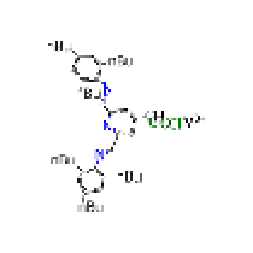 CCCCc1cc(CCCC)c(N=Cc2cc(C)cc(C=Nc3c(CCCC)cc(CCCC)cc3CCCC)n2)c(CCCC)c1.[Cl-].[Cl-].[Cl-].[V+3]